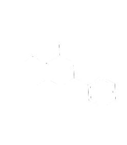 CCCC(C)OC(SSC)c1ccccc1